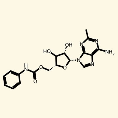 Cc1nc(N)c2ncn([C@@H]3O[C@H](COC(=O)Nc4ccccc4)C(O)[C@@H]3O)c2n1